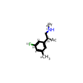 CC(=O)[C@H](CNC(C)C)c1cc(C)cc(F)c1